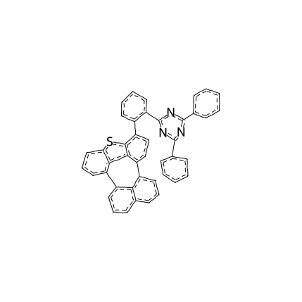 c1ccc(-c2nc(-c3ccccc3)nc(-c3ccccc3-c3ccc4c5c3sc3cccc(c35)-c3cccc5cccc-4c35)n2)cc1